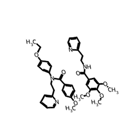 CCOc1ccc(N(CCc2ccccn2)C(=O)c2ccc(OC)cc2)cc1.COc1cc(C(=O)NCCc2ccccn2)cc(OC)c1OC